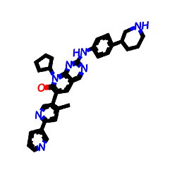 Cc1cc(-c2cccnc2)ncc1-c1cc2cnc(Nc3ccc(C4CCCNC4)cc3)nc2n(C2CCCC2)c1=O